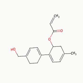 C=CC(=O)OC1CC(C)=CC=C1C1=CC=C(CO)CC1